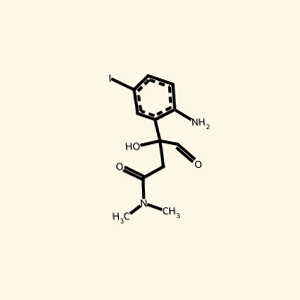 CN(C)C(=O)CC(O)(C=O)c1cc(I)ccc1N